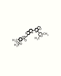 Cc1ccc(C(=O)NCc2cc3nc(-c4cc5c(c(N6C[C@@H](C)O[C@@H](C)C6)n4)OCC5)ccc3cn2)cc1S(C)(=O)=O